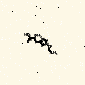 CCOn1cnc(C[C@H](N)C(=O)O)c1